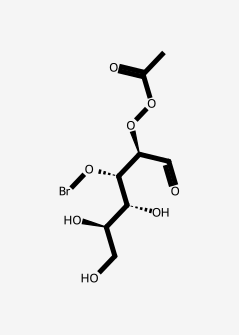 CC(=O)OO[C@@H](C=O)[C@@H](OBr)[C@H](O)[C@H](O)CO